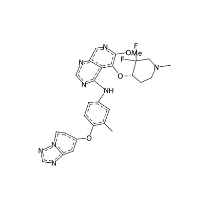 COc1ncc2ncnc(Nc3ccc(Oc4ccn5ncnc5c4)c(C)c3)c2c1O[C@H]1CCN(C)CC1(F)F